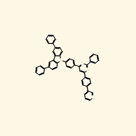 c1ccc(-c2ccc3c(c2)c2cc(-c4ccccc4)ccc2n3-c2ccc(-c3cc(-c4ccc(-c5cccnc5)cc4)nc(-c4ccccc4)n3)cc2)cc1